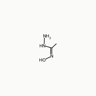 C/C(=N/O)NN